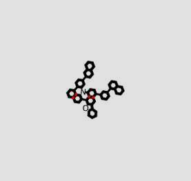 c1ccc(-c2ccc(-c3ccc4ccccc4c3)cc2N(c2ccc(-c3cccc(-c4cccc5ccccc45)c3)cc2)c2ccccc2-c2cccc3c2oc2ccccc23)cc1